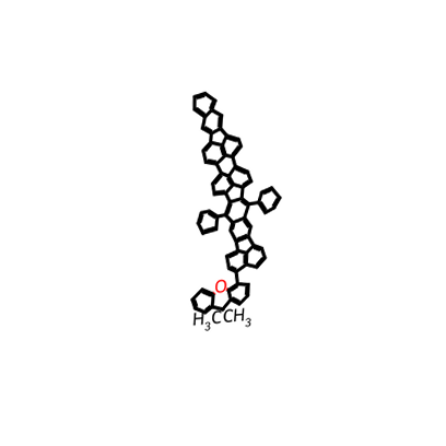 CC1(C)c2ccccc2Oc2c(-c3ccc4c5cc6c(-c7ccccc7)c7c8ccc9c%10ccc%11c%12c(ccc(c%13ccc(c7c(-c7ccccc7)c6cc5c5cccc3c54)c8c%139)c%12%10)-c3cc4ccccc4cc3-%11)cccc21